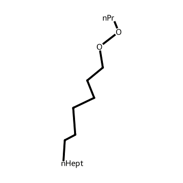 CCCCCCCCCCCCCOOCCC